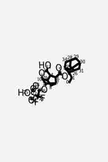 CCC1(OC(=O)C2C3CC4C(OC(O)C42)C3OC(=O)C(F)(F)S(=O)(=O)O)C2CC3CC(C2)CC1C3